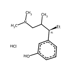 CC[C@@H](c1cccc(O)c1)C(C)CN(C)C.Cl